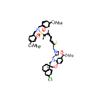 COC(=O)c1ccc2c(c1)N(C[C@@H]1CCN1CC(F)=CC[C@H](C)[C@@H](C)S(=O)(=O)N(Cc1ccc(OC)cc1)Cc1ccc(OC)cc1)C[C@@]1(CCCc3cc(Cl)ccc31)CO2